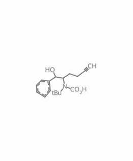 C#CCCC(C(O)c1ccccc1)N(C(=O)O)C(C)(C)C